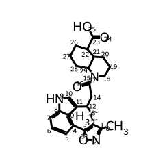 Cc1cc(-c2cccc3[nH]cc(C(C)CC(=O)N4CCCC5C(C(=O)O)CCCC54)c23)on1